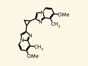 COc1ccn2cc(C3CC3c3cn4ccc(OC)c(C)c4n3)nc2c1C